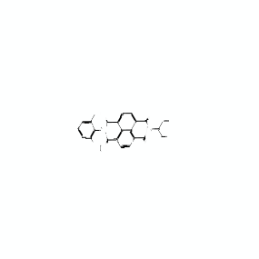 CCc1cccc(C)c1N1C(=O)c2ccc3c4c(ccc(c24)C1=O)C(=O)N(C(CO)CO)C3=O